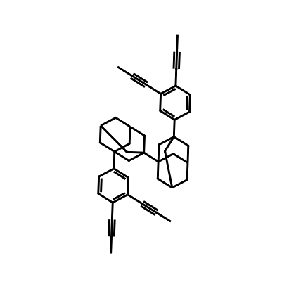 CC#Cc1ccc(C23CC4CC(C2)CC(C25CC6CC(CC(c7ccc(C#CC)c(C#CC)c7)(C6)C2)C5)(C4)C3)cc1C#CC